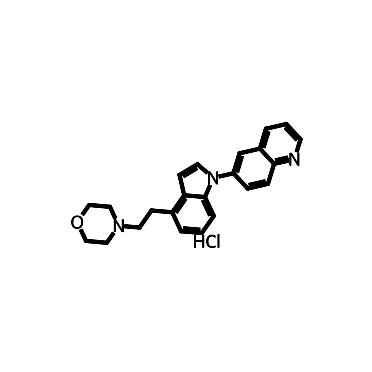 Cl.c1cnc2ccc(-n3ccc4c(CCN5CCOCC5)cccc43)cc2c1